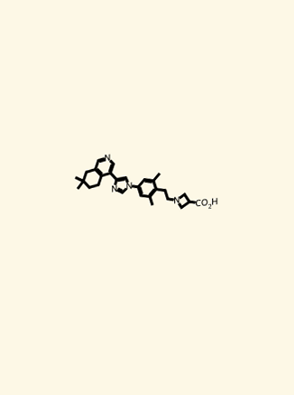 Cc1cc(-n2cnc(-c3cncc4c3CCC(C)(C)C4)c2)cc(C)c1CCN1CC(C(=O)O)C1